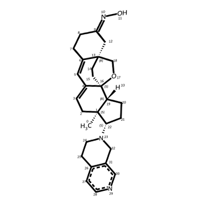 C[C@]12CC=C3C=C4CCC(=NO)C[C@]45CC[C@]3(OC5)[C@@H]1CC[C@@H]2N1CCc2ccncc2C1